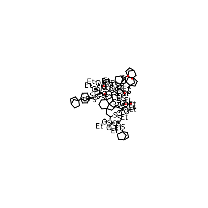 CCO[Si](OCC)(OCC)C(CC1(CC(SSSSC23CCC(CC2)C3)[Si](OCC)(OCC)OCC)CCCC(CC(SSSSC23CCC(CC2)C3)[Si](OCC)(OCC)OCC)(CC(SSSSC23CCC(CC2)C3)[Si](OCC)(OCC)OCC)C1(CC(SSSSC12CCC(CC1)C2)[Si](OCC)(OCC)OCC)CC(SSSSC12CCC(CC1)C2)[Si](OCC)(OCC)OCC)SSSSC12CCC(CC1)C2